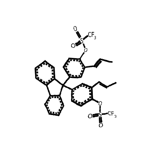 CC=Cc1cc(C2(c3ccc(OS(=O)(=O)C(F)(F)F)c(C=CC)c3)c3ccccc3-c3ccccc32)ccc1OS(=O)(=O)C(F)(F)F